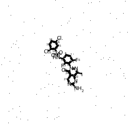 Cc1nn(-c2c(F)ccc(NS(=O)(=O)c3cc(Cl)ccc3Cl)c2F)c(=O)c2cnc(N)nc12